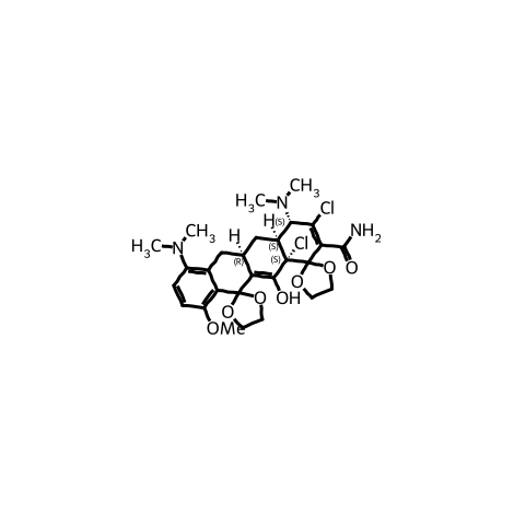 COc1ccc(N(C)C)c2c1C1(OCCO1)C1=C(O)[C@@]3(Cl)[C@@H](C[C@@H]1C2)[C@H](N(C)C)C(Cl)=C(C(N)=O)C31OCCO1